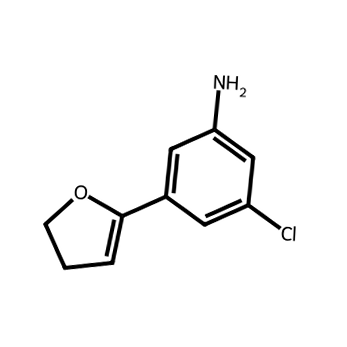 Nc1cc(Cl)cc(C2=CCCO2)c1